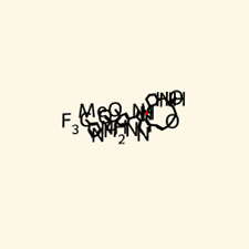 COc1cc(-c2nn3c4c(cnc(N)c24)/C=C/COCCC(=O)N[C@@H]2CCC[C@@H]3C2)ccc1C(=O)Nc1cc(C(F)(F)F)ccn1